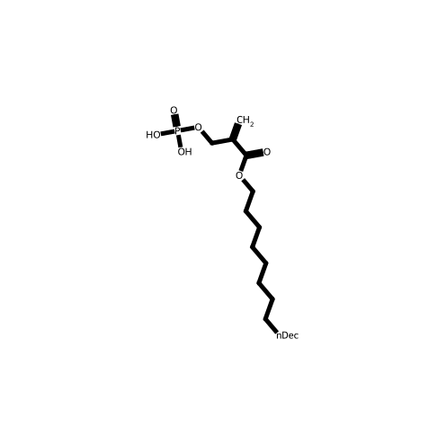 C=C(COP(=O)(O)O)C(=O)OCCCCCCCCCCCCCCCCCC